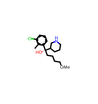 COCCCC[C@@](O)(c1cccc(Cl)c1C)C1CCCNC1